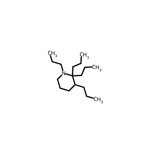 CCCC1CCCN(CCC)C1(CCC)CCC